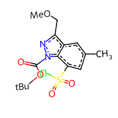 COCc1nn(C(=O)OC(C)(C)C)c2c(S(=O)(=O)Cl)cc(C)cc12